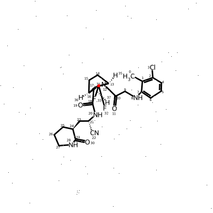 Cc1c(Cl)cccc1NCC(=O)N1[C@@H]2CC[C@H]([C@@H]1C(=O)N[C@H](C#N)C[C@@H]1CCCNC1=O)C(F)(F)C2